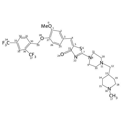 COc1cc(C=C2SC(N3CCN(CC4CCN(C)CC4)CC3)=NC2=O)ccc1OCc1ccc(C(F)(F)F)cc1C(F)(F)F